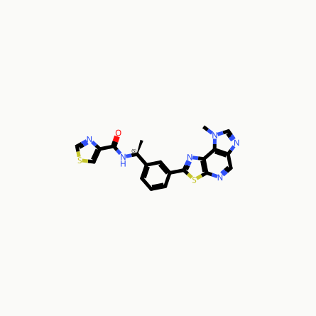 C[C@H](NC(=O)c1cscn1)c1cccc(-c2nc3c(ncc4ncn(C)c43)s2)c1